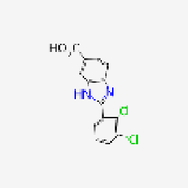 O=C(O)c1ccc2nc(-c3cccc(Cl)c3Cl)[nH]c2c1